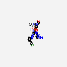 O=C(NS(=O)(=O)c1ccc(NCC2CCOCC2)c([N+](=O)[O-])c1)c1ccc(N2CCN(Cc3ccccc3-c3ccc(Cl)cc3)CC2)cc1-n1ncc2nc3[nH]ccc3cc21